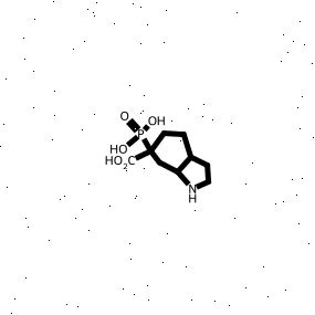 O=C(O)C1(P(=O)(O)O)CCC2CCNC2C1